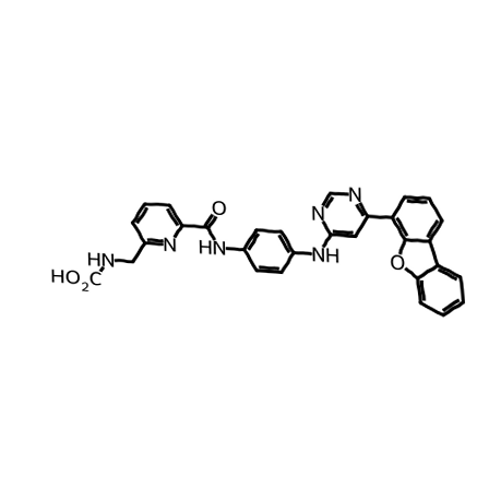 O=C(O)NCc1cccc(C(=O)Nc2ccc(Nc3cc(-c4cccc5c4oc4ccccc45)ncn3)cc2)n1